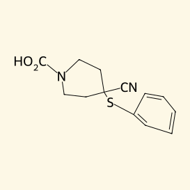 N#CC1(Sc2ccccc2)CCN(C(=O)O)CC1